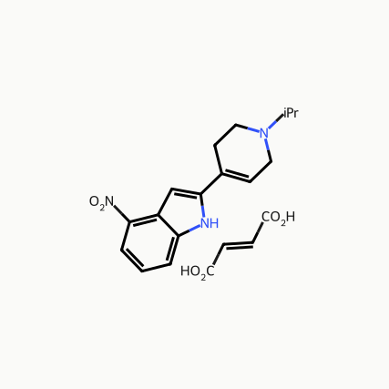 CC(C)N1CC=C(c2cc3c([N+](=O)[O-])cccc3[nH]2)CC1.O=C(O)C=CC(=O)O